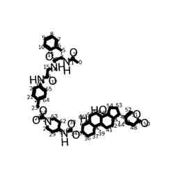 CC(=O)N[C@@H](Cc1ccccc1)C(=O)NCC(=O)Nc1ccc(COC(=O)N2CCC(NC(=O)O[C@H]3CC[C@]4(C)C5CC[C@]6(C)[C@@H](c7ccc(=O)oc7)CC[C@]6(O)C5CC[C@@H]4C3)CC2)cc1